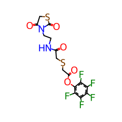 O=C(CSCC(=O)Oc1c(F)c(F)c(F)c(F)c1F)NCCN1C(=O)CSC1=O